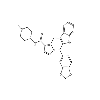 CN1CCN(NC(=O)c2ccn3c2Cc2c([nH]c4ccccc24)C3c2ccc3c(c2)OCO3)CC1